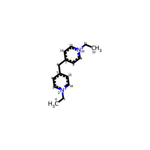 CC[n+]1ccc(Cc2cc[n+](CC)cc2)cc1